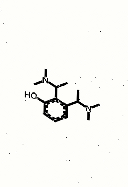 CC(c1cccc(O)c1C(C)N(C)C)N(C)C